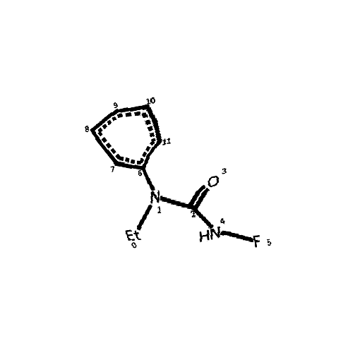 CCN(C(=O)NF)c1ccccc1